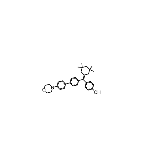 CC1(C)CC(=C(c2ccc(O)cc2)c2ccc(-c3ccc(N4CCOCC4)cc3)cc2)CC(C)(C)C1